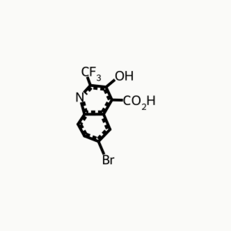 O=C(O)c1c(O)c(C(F)(F)F)nc2ccc(Br)cc12